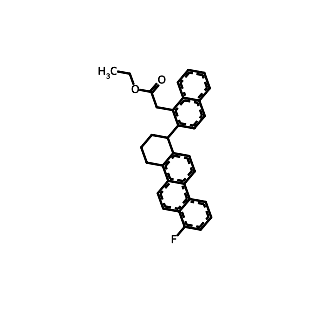 CCOC(=O)Cc1c(C2CCCc3c2ccc2c3ccc3c(F)cccc32)ccc2ccccc12